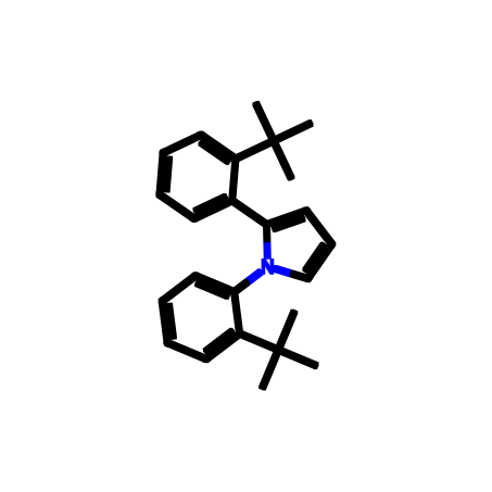 CC(C)(C)c1ccccc1-c1cccn1-c1ccccc1C(C)(C)C